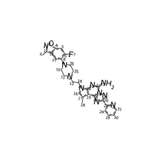 Cc1noc2cc(F)c(N3CCN(CCn4cc(C)c5c4nc(N)n4nc(-c6ccccn6)nc54)CC3)cc12